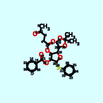 CC(=O)CCC(=O)OC1C(OC(=O)c2ccccc2)C(Sc2ccccc2)OC1[C@H]1COC(C)(C)O1